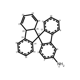 Nc1ccc2c(c1)-c1ccccc1C21c2ccccc2C2C=CC=CC21